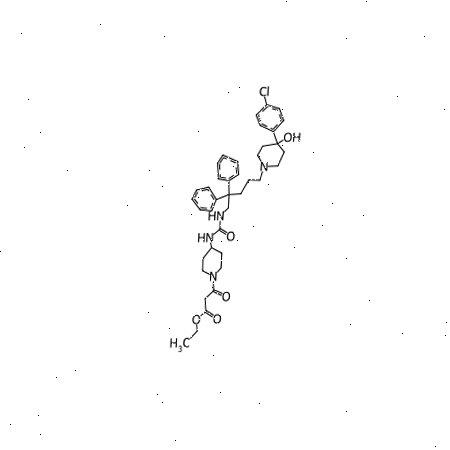 CCOC(=O)CC(=O)N1CCC(NC(=O)NCC(CCCN2CCC(O)(c3ccc(Cl)cc3)CC2)(c2ccccc2)c2ccccc2)CC1